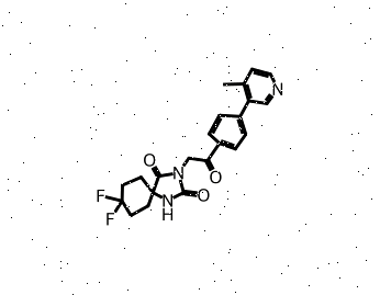 Cc1ccncc1-c1ccc(C(=O)CN2C(=O)NC3(CCC(F)(F)CC3)C2=O)cc1